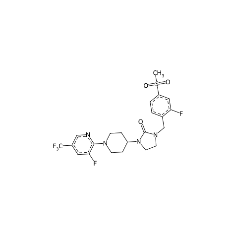 CS(=O)(=O)c1ccc(CN2CCN(C3CCN(c4ncc(C(F)(F)F)cc4F)CC3)C2=O)c(F)c1